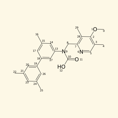 COc1c(C)cnc(CN(C(=O)O)c2cc(C)cc(-c3cc(C)cc(C)c3)c2)c1C